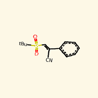 CC(C)(C)S(=O)(=O)/C=C(\C#N)c1ccccc1